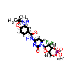 CC(C)OP1(=O)OC[C@H]2OC(n3ccc(NC(=O)c4ccc5c(c4)NC(C)(C)O5)nc3=O)C(F)(F)[C@@H]2O1